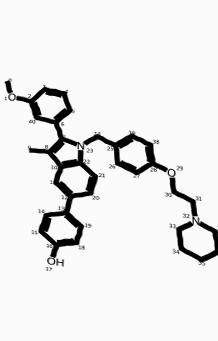 COc1cccc(-c2c(C)c3cc(-c4ccc(O)cc4)ccc3n2Cc2ccc(OCCN3CCCCC3)cc2)c1